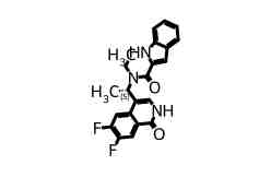 CCN(C(=O)c1cc2ccccc2[nH]1)[C@@H](C)c1c[nH]c(=O)c2cc(F)c(F)cc12